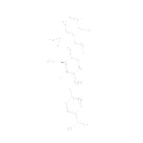 CCC[C@H](C)n1c(=O)c(NCc2ccc([S+]([O-])CC)cn2)nc2cnc(-c3c(C)ncnc3C3CC3)nc21